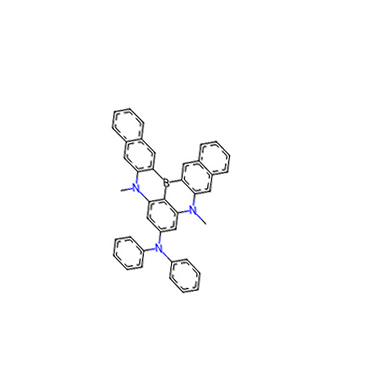 CN1c2cc3ccccc3cc2B2c3cc4ccccc4cc3N(C)c3cc(N(c4ccccc4)c4ccccc4)cc1c32